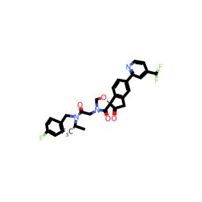 C[C@H](N(Cc1ccc(F)cc1)C(=O)CN1CO[C@]2(C(=O)Cc3cc(-c4cc(C(F)F)ccn4)ccc32)C1=O)C(F)(F)F